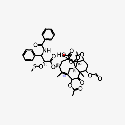 CO[C@@H]1C(C)(O)C[C@H](OC(=O)[C@H](OSC)C(NC(=O)c2ccccc2)c2ccccc2)/C(C)=C2\C[C@@]13C(C)(C(=O)C2OC(C)=O)C(OC=O)CC1OC[C@]13OC(C)=O